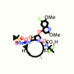 CC[C@@H]1C[C@H](C)CC/C=C\[C@@H]2C[C@@]2(C(=O)NS(=O)(=O)C2(C)CC2)NC(=O)[C@@H]2C[C@@H](Oc3cc(OC)nc4cc(OC)c(F)cc34)CN2C(=O)[C@H]1N(C(=O)O)C(C)(C)C(C)(F)F